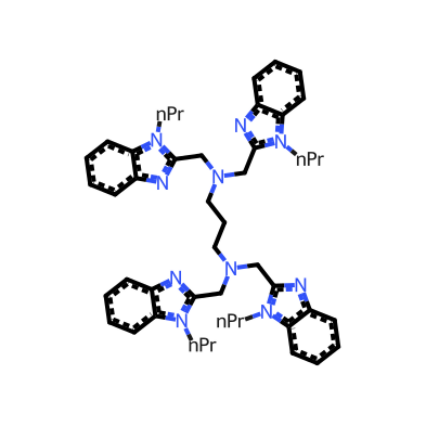 CCCn1c(CN(CCCN(Cc2nc3ccccc3n2CCC)Cc2nc3ccccc3n2CCC)Cc2nc3ccccc3n2CCC)nc2ccccc21